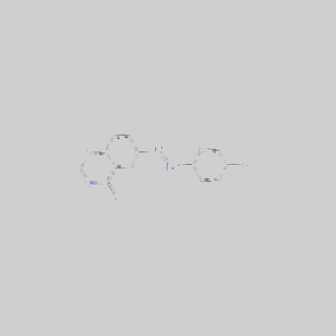 Cc1cc(N)ccc1N=Nc1ccc2[nH]cnc(=O)c2c1